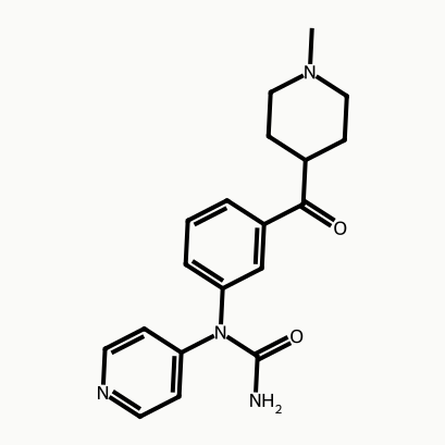 CN1CCC(C(=O)c2cccc(N(C(N)=O)c3ccncc3)c2)CC1